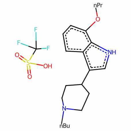 CCCCN1CCC(c2c[nH]c3c(OCCC)cccc23)CC1.O=S(=O)(O)C(F)(F)F